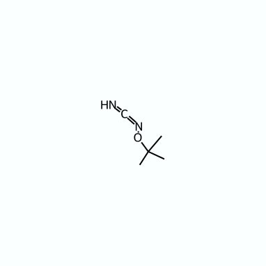 CC(C)(C)ON=C=N